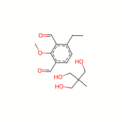 CC(CO)(CO)CO.CCc1ccc(C=O)c(OC)c1C=O